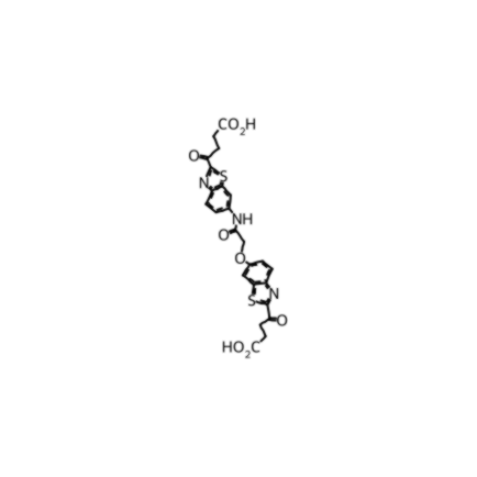 O=C(O)CCC(=O)c1nc2ccc(NC(=O)COc3ccc4nc(C(=O)CCC(=O)O)sc4c3)cc2s1